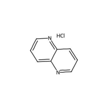 Cl.c1cnc2cccnc2c1